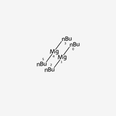 CCC[CH2][Mg][CH2]CCC.CCC[CH2][Mg][CH2]CCC